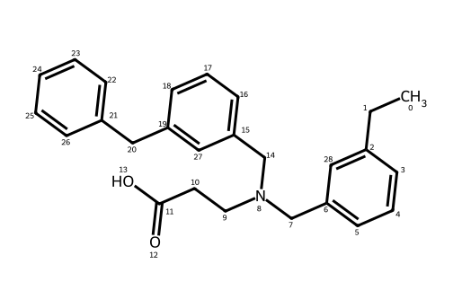 CCc1cccc(CN(CCC(=O)O)Cc2cccc(Cc3ccccc3)c2)c1